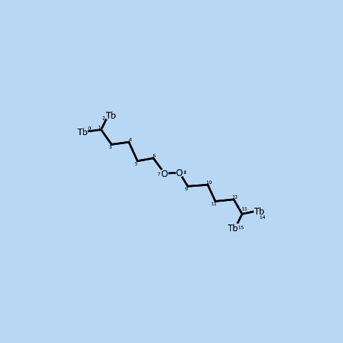 [Tb][CH]([Tb])CCCCOOCCCC[CH]([Tb])[Tb]